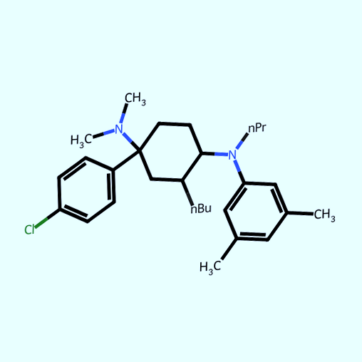 CCCCC1CC(c2ccc(Cl)cc2)(N(C)C)CCC1N(CCC)c1cc(C)cc(C)c1